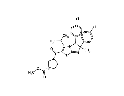 COC(=O)[C@H]1CCN(C(=O)C2=C(C(C)C)N3C(=NC(C)(c4ccc(Cl)cc4)C3c3ccc(Cl)cc3)S2)C1